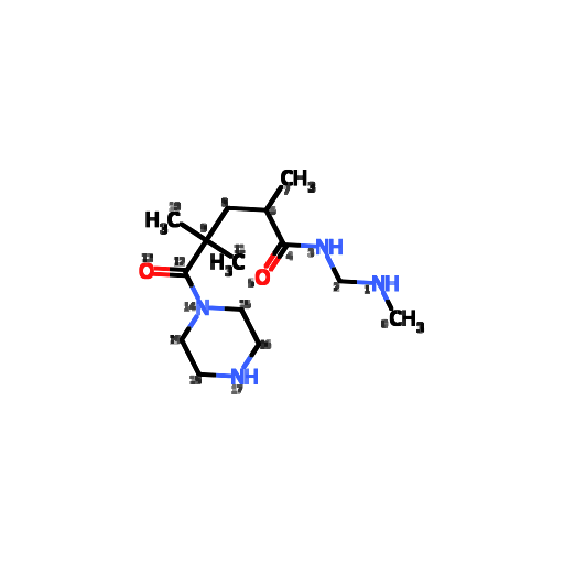 CNCNC(=O)C(C)CC(C)(C)C(=O)N1CCNCC1